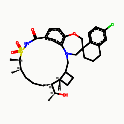 C[C@@H]1[C@@H](C)CCC[C@@H]([C@@H](C)O)[C@H]2CCC2CN2CC3(CCCc4cc(Cl)ccc43)COc3ccc(cc32)C(=O)NS1(=O)=O